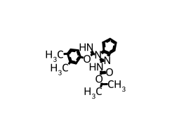 Cc1ccc(OC(=N)n2c(NC(=O)OC(C)C)nc3ccccc32)cc1C